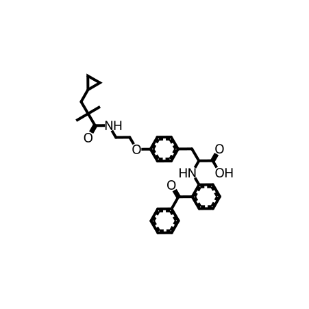 CC(C)(CC1CC1)C(=O)NCCOc1ccc(CC(Nc2ccccc2C(=O)c2ccccc2)C(=O)O)cc1